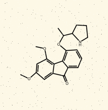 COc1cc(OC)c2c(c1)C(=O)c1cccc(OC(C)C3CCCN3)c1-2